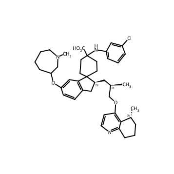 C[C@@H](COc1ccnc2c1[C@H](C)CCC2)C[C@H]1Cc2ccc(OC3CCCCN(C)C3)cc2C12CCC(Nc1cccc(Cl)c1)(C(=O)O)CC2